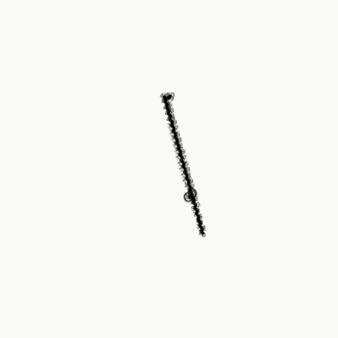 CCCCC=CCCCCCCCC(=O)OCCCCCCCCCCCCCCCCCCCCCCCCCCCCCCCC(C)CC